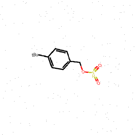 CC(C)(C)c1ccc(CO[SH](=O)=O)cc1